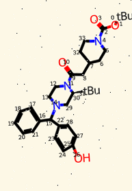 CC(C)(C)OC(=O)N1CCC(CC(=O)N2CCN(C(c3ccccc3)c3ccc(O)cc3)C[C@@H]2C(C)(C)C)CC1